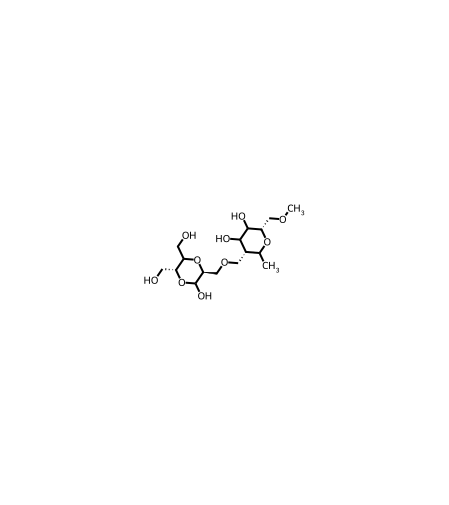 COC[C@@H]1OC(C)[C@H](COC[C@@H]2OC(CO)[C@@H](CO)OC2O)C(O)C1O